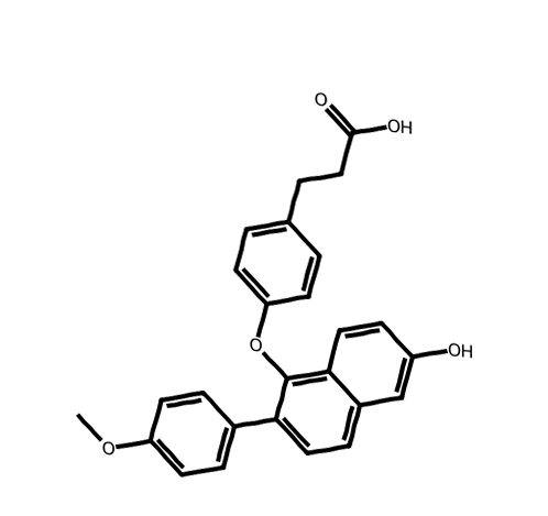 COc1ccc(-c2ccc3cc(O)ccc3c2Oc2ccc(CCC(=O)O)cc2)cc1